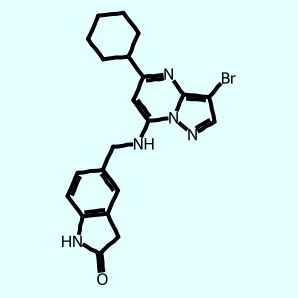 O=C1Cc2cc(CNc3cc(C4CCCCC4)nc4c(Br)cnn34)ccc2N1